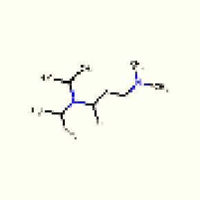 CC(C)N(C(C)C)C(C)CCN(C)C